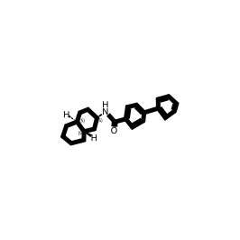 O=C(N[C@H]1CC[C@@H]2CCCC[C@H]2C1)c1ccc(-c2ccccc2)cc1